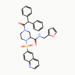 O=C(NCc1ccco1)C1CN(C(=O)C(c2ccccc2)c2ccccc2)CCN1S(=O)(=O)c1ccc2ncccc2c1